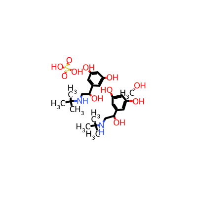 CC(C)(C)NCC(O)c1cc(O)cc(O)c1.CC(C)(C)NCC(O)c1cc(O)cc(O)c1.CO.O=S(=O)(O)O